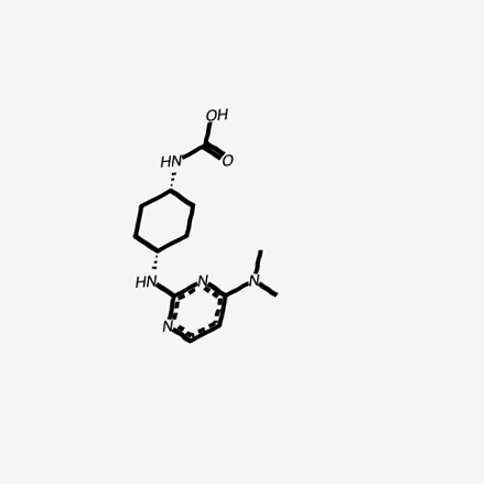 CN(C)c1ccnc(N[C@H]2CC[C@@H](NC(=O)O)CC2)n1